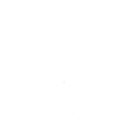 O=Cc1ccc(OC2CCOCC2)c(Cl)c1